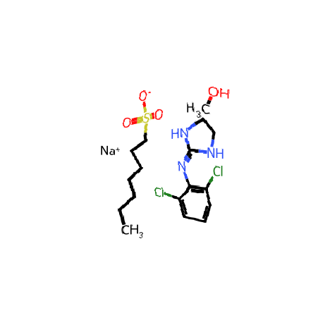 CCCCCCCS(=O)(=O)[O-].CO.Clc1cccc(Cl)c1N=C1NCCN1.[Na+]